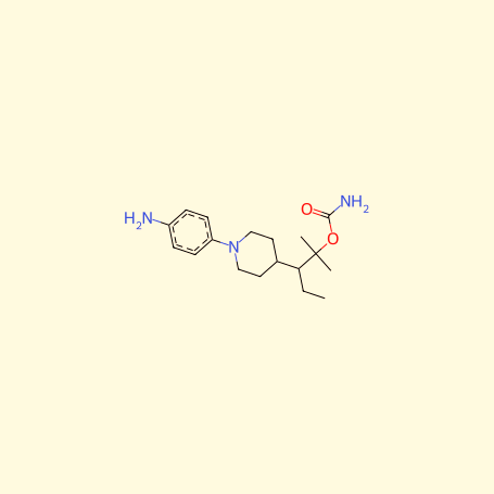 CCC(C1CCN(c2ccc(N)cc2)CC1)C(C)(C)OC(N)=O